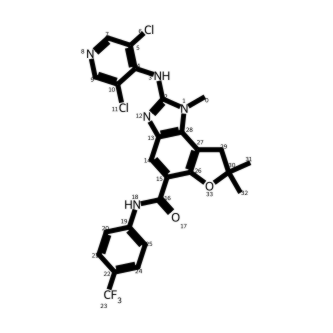 Cn1c(Nc2c(Cl)cncc2Cl)nc2cc(C(=O)Nc3ccc(C(F)(F)F)cc3)c3c(c21)CC(C)(C)O3